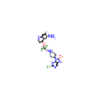 Cc1cc2nccc(OCC(F)(F)CNC3CCC(n4c(=O)n(C)c5cnc(Cl)nc54)CC3)c2cc1N